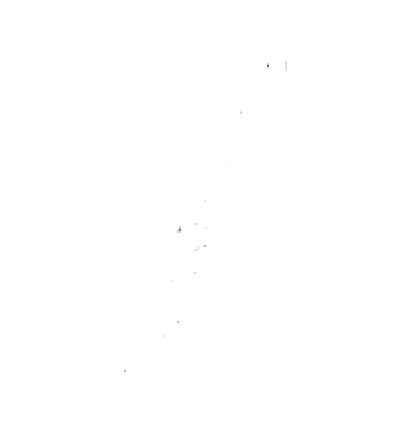 CCCCC[C@H]1CC[C@H](CCCOc2ccc(C(=O)O[C@H]3CC[C@H](CCCC)CC3)cc2)CC1